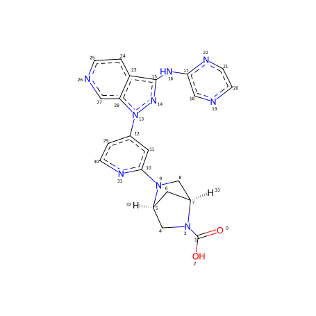 O=C(O)N1C[C@@H]2C[C@H]1CN2c1cc(-n2nc(Nc3cnccn3)c3ccncc32)ccn1